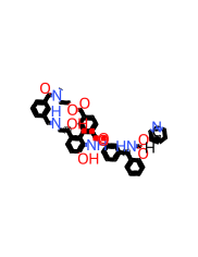 CN(CCOC(=O)c1ccc(COc2cccc([C@@H](NC(=O)O[C@H]3CN4CCC3CC4)c3ccccc3)c2)cc1)C(=O)c1cccc(CNC[C@H](O)c2ccc(O)c3[nH]c(=O)ccc23)c1